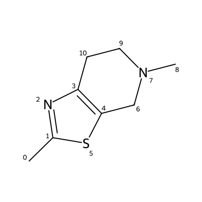 Cc1nc2c(s1)CN(C)CC2